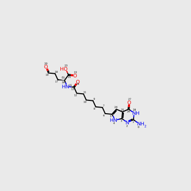 Nc1nc2[nH]c(CCCCCCCC(=O)N[C@@H](CCC=O)C(=O)O)cc2c(=O)[nH]1